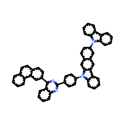 c1ccc2c(c1)ccc1ccc(-c3nc(-c4ccc(-n5c6ccccc6c6cc7cc(-n8c9ccccc9c9ccccc98)ccc7cc65)cc4)nc4ccccc34)cc12